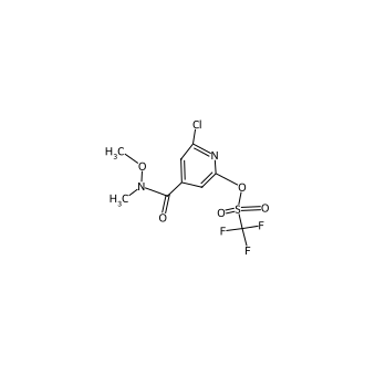 CON(C)C(=O)c1cc(Cl)nc(OS(=O)(=O)C(F)(F)F)c1